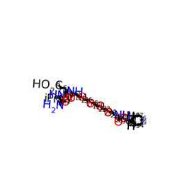 CC(C)[C@H](NC(=O)[C@@H](CCC(=O)O)NC(=O)CCOCCOCCOCCOCCNC(=O)OC[C@@H]1[C@@H]2CC/C=C\CC[C@@H]21)C(N)=O